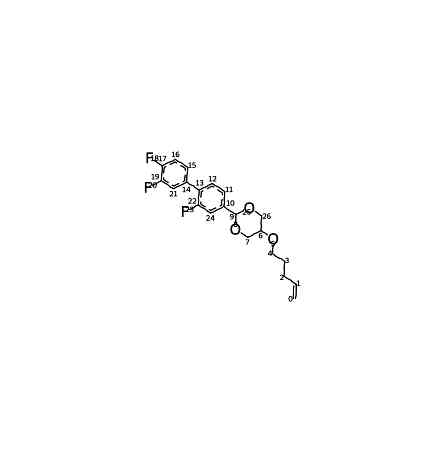 C=CCCCOC1COC(c2ccc(-c3ccc(F)c(F)c3)c(F)c2)OC1